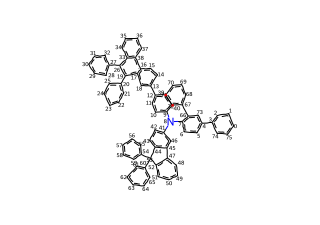 c1ccc(-c2ccc(N(c3ccc(-c4ccc5c(c4)c(-c4ccccc4)c(-c4ccccc4)c4ccccc45)cc3)c3ccc4c(c3)-c3ccccc3C4(c3ccccc3)c3ccccc3)c(-c3ccccc3)c2)cc1